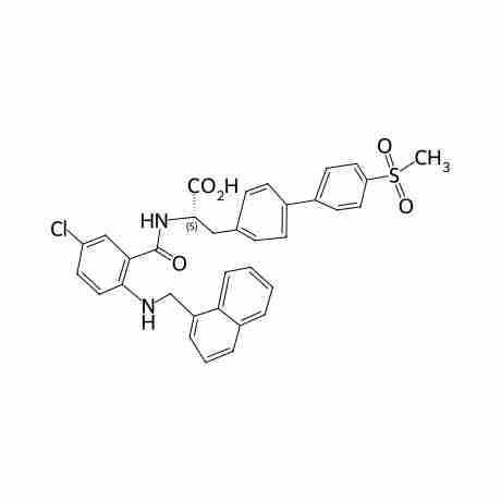 CS(=O)(=O)c1ccc(-c2ccc(C[C@H](NC(=O)c3cc(Cl)ccc3NCc3cccc4ccccc34)C(=O)O)cc2)cc1